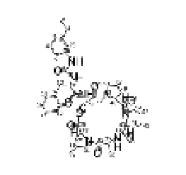 CCc1cccc(NC(=O)N[C@@H](Cc2ccccc2)C(=O)N[C@H]2COC(=O)[C@@H]3C[C@H](C)CN3C(=O)[C@H](C)NC(=O)[C@@H]3CCCCN3C(=O)[C@@H]3CCCN3C2=O)c1